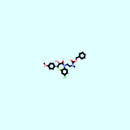 COc1ccc([C@@H]2Sc3cc(Cl)ccc3N(CCN(C)C(=O)OCc3ccccc3)C(=O)[C@@H]2O)cc1